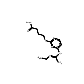 CNC(=O)CCCSc1nccc(NC(N)=NCC(F)(F)F)n1